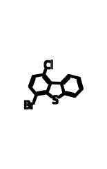 Clc1ccc(Br)c2sc3ccccc3c12